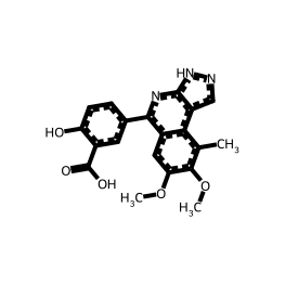 COc1cc2c(-c3ccc(O)c(C(=O)O)c3)nc3[nH]ncc3c2c(C)c1OC